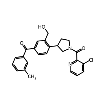 Cc1cccc(C(=O)c2ccc(C3CCN(C(=O)c4ncccc4Cl)C3)c(CO)c2)c1